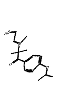 CC(C)Oc1ccc(C(=O)C(C)(C)N(C)CCO)cc1